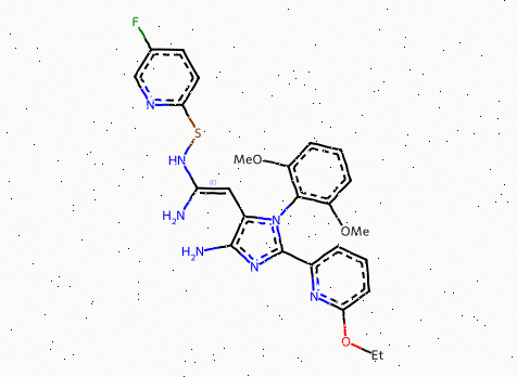 CCOc1cccc(-c2nc(N)c(/C=C(\N)NSc3ccc(F)cn3)n2-c2c(OC)cccc2OC)n1